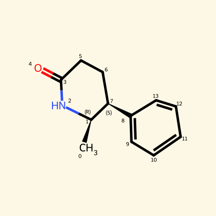 C[C@H]1NC(=O)CC[C@H]1c1ccccc1